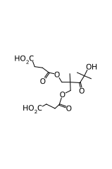 CC(C)(O)C(=O)C(C)(COC(=O)CCC(=O)O)COC(=O)CCC(=O)O